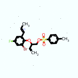 C=CC(COS(=O)(=O)c1ccc(C)cc1)Oc1c(Br)cc(F)cc1/C=C/C